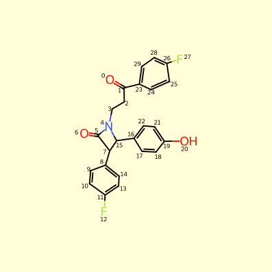 O=C(CCN1C(=O)C(c2ccc(F)cc2)C1c1ccc(O)cc1)c1ccc(F)cc1